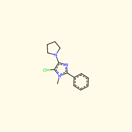 Cn1c(-c2ccccc2)nc(N2CCCC2)c1Cl